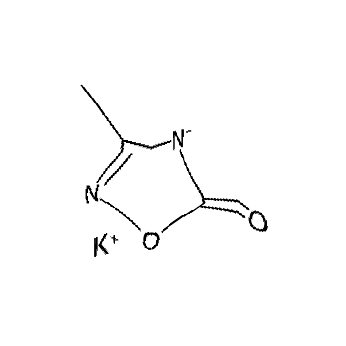 Cc1noc(=O)[n-]1.[K+]